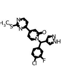 CSc1nccc(-c2ccn(C(c3cn[nH]c3)c3ccc(Cl)c(F)c3)c(=O)c2)n1